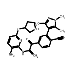 C=C(Nc1nc(OC2CCNC2)ccc1N)C(=O)c1ccc(C#N)c(-c2c(C)nn(C)c2C)c1